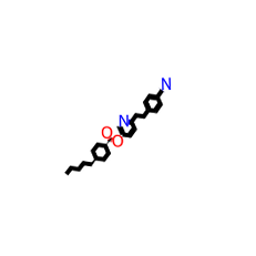 CCCCC[C@H]1CC[C@H](C(=O)Oc2ccc(CCc3ccc(C#N)cc3)nc2)CC1